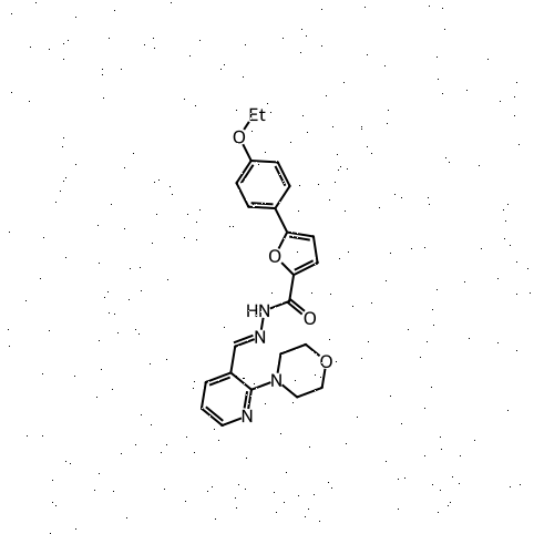 CCOc1ccc(-c2ccc(C(=O)N/N=C/c3cccnc3N3CCOCC3)o2)cc1